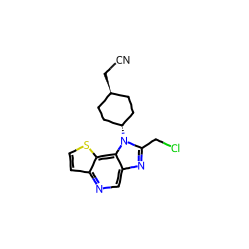 N#CC[C@H]1CC[C@H](n2c(CCl)nc3cnc4ccsc4c32)CC1